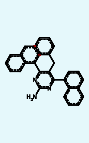 Nc1nc(-c2cccc3ccccc23)c(Cc2ccccc2)c(-c2cccc3ccccc23)n1